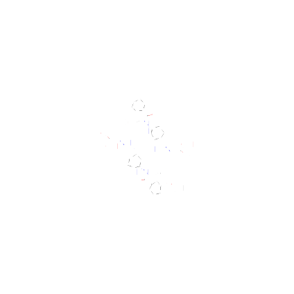 COc1cccc(C(=O)Nc2ccccc2)c1[Se]SCCC(N)C(=O)O.NC(CCS[Se]c1ccccc1C(=O)Nc1ccccc1)C(=O)O